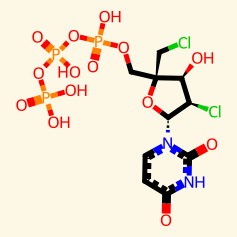 O=c1ccn([C@@H]2O[C@](CCl)(COP(=O)(O)OP(=O)(O)OP(=O)(O)O)[C@@H](O)[C@H]2Cl)c(=O)[nH]1